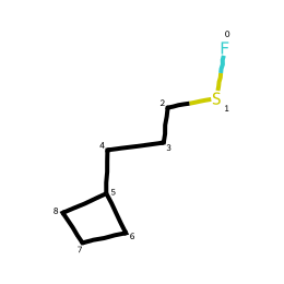 FSCCCC1CCC1